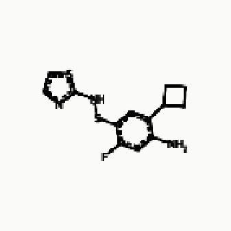 Nc1cc(F)c(SNc2nccs2)cc1C1CCC1